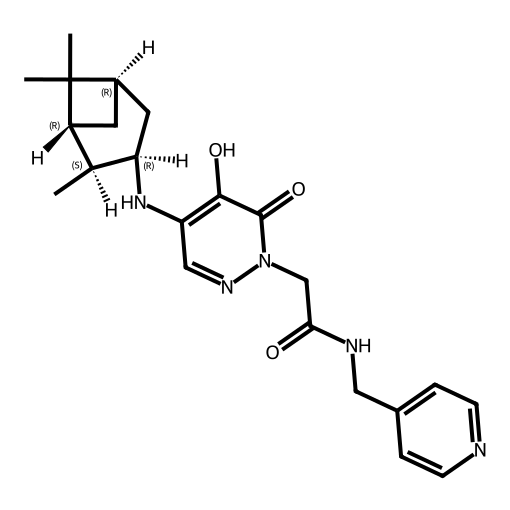 C[C@H]1[C@H]2C[C@H](C[C@H]1Nc1cnn(CC(=O)NCc3ccncc3)c(=O)c1O)C2(C)C